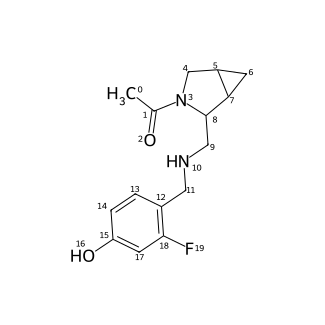 CC(=O)N1CC2CC2C1CNCc1ccc(O)cc1F